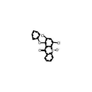 O=c1c2ccccc2[s+]([O-])c2c(Cl)cc(Cl)c(Oc3ccccc3)c12